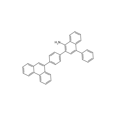 Nc1c(-c2ccc(-c3cc4ccccc4c4ccccc34)cc2)cc(-c2ccccc2)c2ccccc12